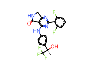 C[C@@](O)(c1ccc(Nc2nc(-c3c(F)cccc3F)nc3c2C(=O)NC3)cc1)C(F)(F)F